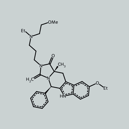 C=C1N(CCCN(CC)CCOC)C(=O)[C@]2(C)Cc3c([nH]c4ccc(OCC)cc34)[C@@H](c3ccccc3)N12